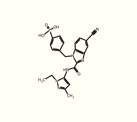 CCn1nc(C)cc1NC(=O)c1nc2cc(C#N)ccc2n1Cc1ccc(P(=O)(O)O)cc1